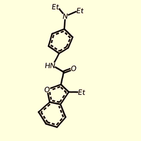 CCc1c(C(=O)Nc2ccc(N(CC)CC)cc2)oc2ccccc12